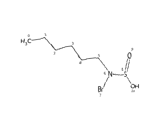 CCCCCCN(Br)S(=O)O